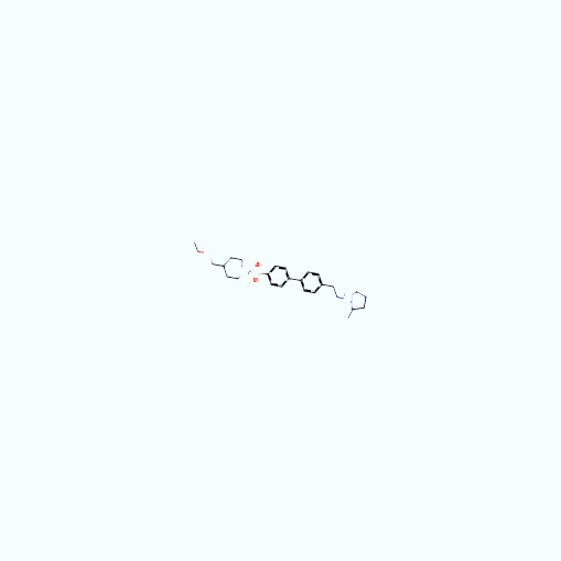 CCOCC1CCN(S(=O)(=O)c2ccc(-c3ccc(CCN4CCCC4C)cc3)cc2)CC1